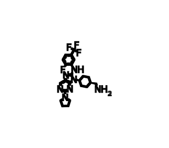 NC[C@H]1CC[C@@H](n2c(Nc3cc(C(F)(F)F)ccc3F)nc3cnc(N4CCCC4)nc32)CC1